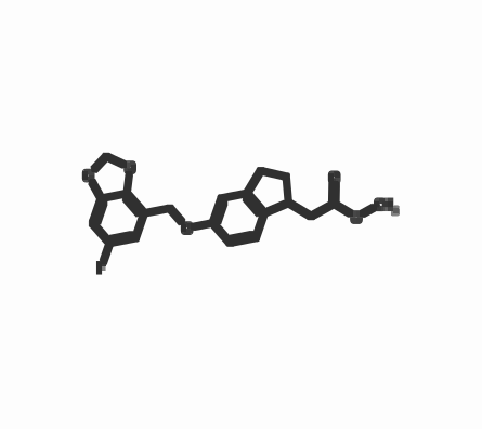 COC(=O)CC1CCc2cc(OCc3cc(F)cc4c3OCO4)ccc21